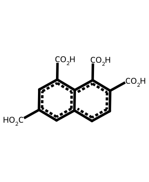 O=C(O)c1cc(C(=O)O)c2c(C(=O)O)c(C(=O)O)ccc2c1